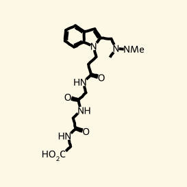 CNN(C)Cc1cc2ccccc2n1CCC(=O)NCC(=O)NCC(=O)NCC(=O)O